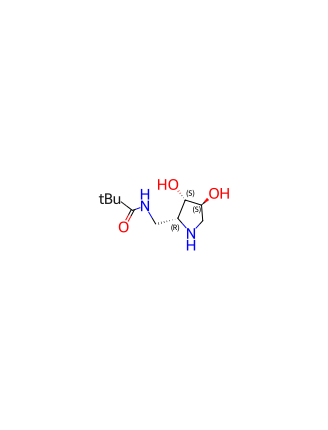 CC(C)(C)C(=O)NC[C@H]1NC[C@H](O)[C@H]1O